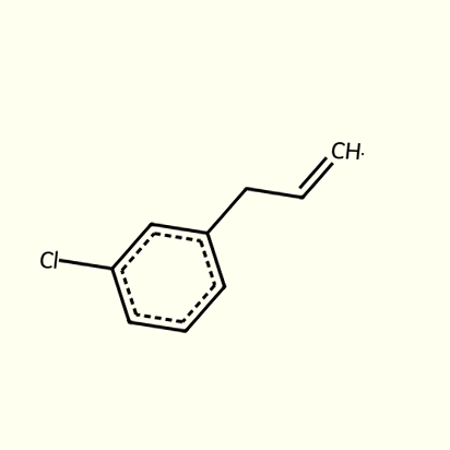 [CH]=CCc1cccc(Cl)c1